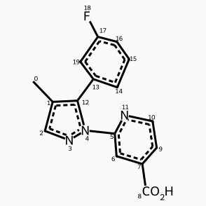 Cc1cnn(-c2cc(C(=O)O)ccn2)c1-c1cccc(F)c1